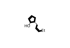 CC/C=C\C[C@H]1CC=C[C@H]1O